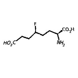 N[C@@H](CCC(F)CCC(=O)O)C(=O)O